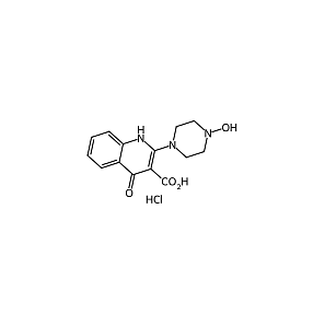 Cl.O=C(O)c1c(N2CCN(O)CC2)[nH]c2ccccc2c1=O